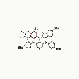 Cc1cc2c3c(c1)N(c1ccc(C(C)(C)C)cc1)c1c(sc4cc(C(C)(C)C)ccc14)B3c1cc(C(C)(C)C)ccc1N2c1ccc(C(C)(C)C)cc1-c1c2c(cc3c1CCCC3)CCCC2